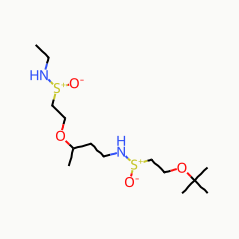 CCN[S+]([O-])CCOC(C)CCN[S+]([O-])CCOC(C)(C)C